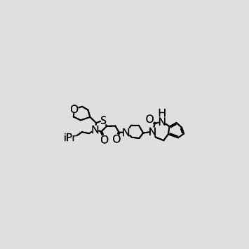 CC(C)CCN1C(=O)C(CC(=O)N2CCC(N3CCc4ccccc4NC3=O)CC2)SC1C1CCOCC1